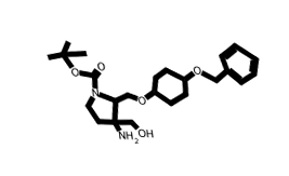 CC(C)(C)OC(=O)N1CCC(N)(CO)C1COC1CCC(OCc2ccccc2)CC1